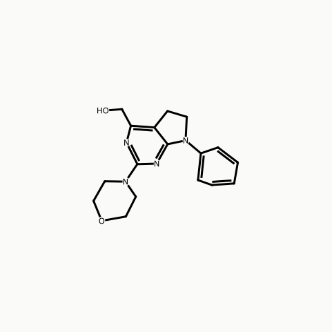 OCc1nc(N2CCOCC2)nc2c1CCN2c1ccccc1